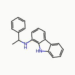 CC(Nc1cccc2c1[nH]c1ccccc12)c1ccccc1